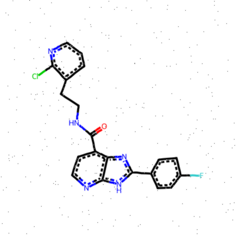 O=C(NCCc1cccnc1Cl)c1ccnc2[nH]c(-c3ccc(F)cc3)nc12